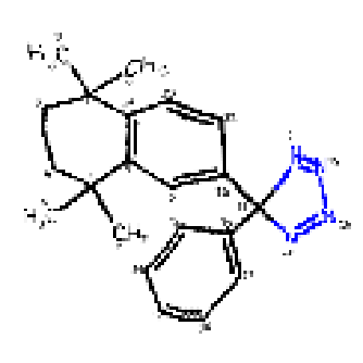 CC1(C)CCC(C)(C)c2cc(C3(c4[c]cccc4)N=NN=N3)ccc21